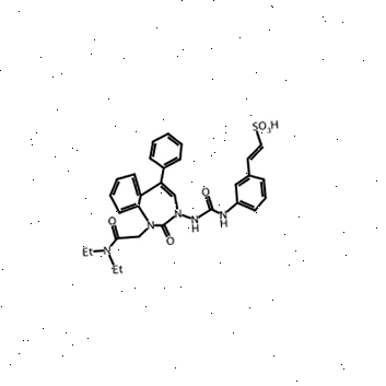 CCN(CC)C(=O)CN1C(=O)N(NC(=O)Nc2cccc(/C=C/S(=O)(=O)O)c2)C=C(c2ccccc2)c2ccccc21